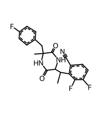 CC(c1c(C#N)ccc(F)c1F)C1NC(=O)C(C)(Cc2ccc(F)cc2)NC1=O